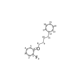 Fc1[c]cccc1OCCCCc1ccccc1